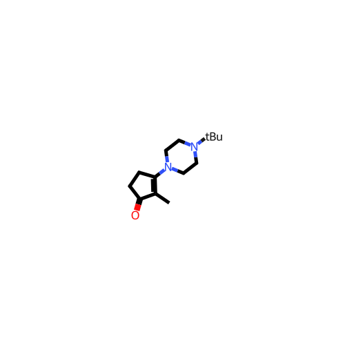 CC1=C(N2CCN(C(C)(C)C)CC2)CCC1=O